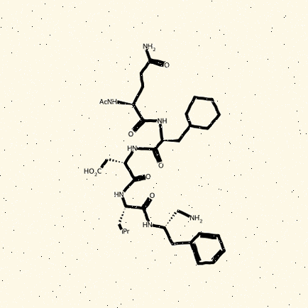 CC(=O)N[C@@H](CCC(N)=O)C(=O)N[C@@H](CC1CCCCC1)C(=O)N[C@@H](CC(=O)O)C(=O)N[C@@H](CC(C)C)C(=O)N[C@H](CN)Cc1ccccc1